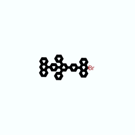 Brc1c2ccccc2c(-c2ccc(-c3cc(-c4ccccc4)c(-c4ccc(-c5c6ccccc6cc6ccccc56)cc4)c(-c4ccccc4)c3)cc2)c2ccccc12